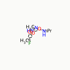 CCCNCCOc1ccc(NS(=O)(=O)c2ccc([C@H](C)CF)cc2)c(C)n1